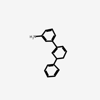 Nc1cccc(C2=CC(c3ccccc3)CC=C2)c1